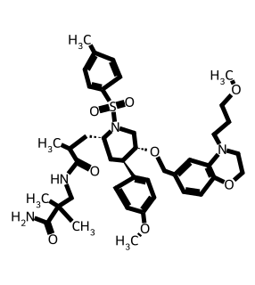 COCCCN1CCOc2ccc(CO[C@H]3CN(S(=O)(=O)c4ccc(C)cc4)[C@@H](CC(C)C(=O)NCC(C)(C)C(N)=O)C[C@@H]3c3ccc(OC)cc3)cc21